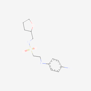 Cl.Cl.Nc1ccc(NCCS(=O)(=O)NCC2CCCO2)cc1